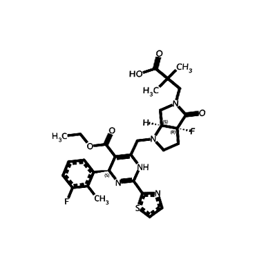 CCOC(=O)C1=C(CN2CC[C@]3(F)C(=O)N(CC(C)(C)C(=O)O)C[C@H]23)NC(c2nccs2)=N[C@H]1c1cccc(F)c1C